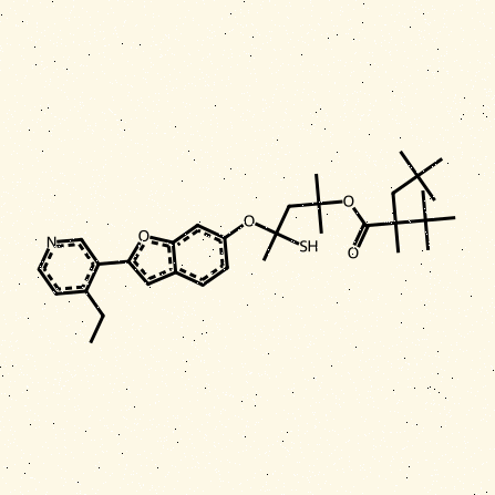 CCc1ccncc1-c1cc2ccc(OC(C)(S)CC(C)(C)OC(=O)C(C)(CC(C)(C)C)C(C)(C)C)cc2o1